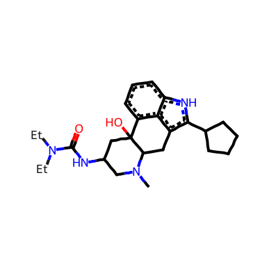 CCN(CC)C(=O)NC1CN(C)C2Cc3c(C4CCCC4)[nH]c4cccc(c34)C2(O)C1